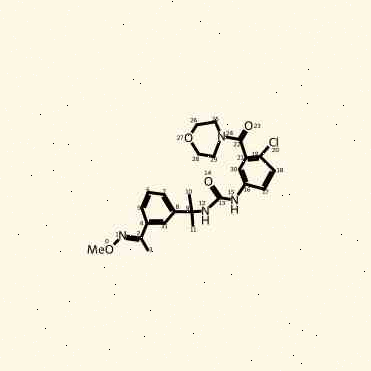 CO/N=C(\C)c1cccc(C(C)(C)NC(=O)Nc2ccc(Cl)c(C(=O)N3CCOCC3)c2)c1